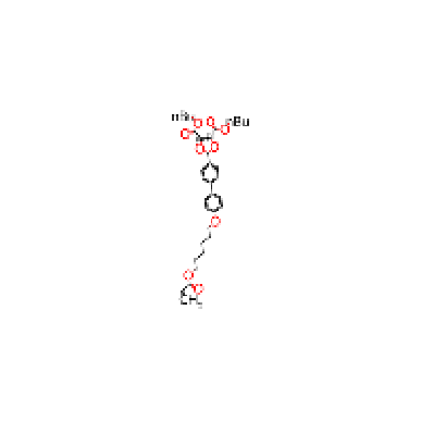 C=CC(=O)OCCCCCCOc1ccc(-c2ccc(C3O[C@@H](C(=O)OCCCC)[C@H](C(=O)OCCCC)O3)cc2)cc1